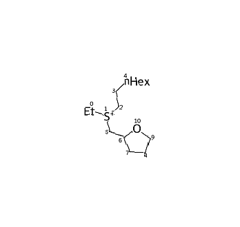 [CH2]C[S+](CCCCCCCC)CC1CCCO1